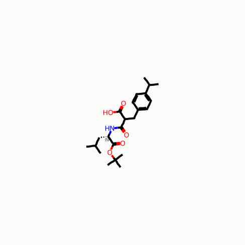 CC(C)C[C@H](NC(=O)C(Cc1ccc(C(C)C)cc1)C(=O)O)C(=O)OC(C)(C)C